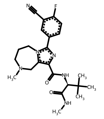 CNC(=O)[C@@H](NC(=O)c1nc(-c2ccc(F)c(C#N)c2)n2c1CN(C)CCC2)C(C)(C)C